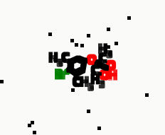 Cc1cc(OC(C)(C)C(=O)O)cc(C)c1Br